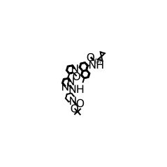 Cc1ccc2c(NC(=O)[C@H]3CC34CC4)cccc2c1Oc1ncccc1-c1ccnc(NC2CCCN(C(=O)OC(C)(C)C)C2)n1